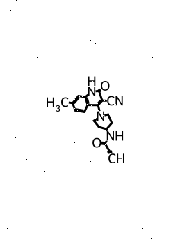 C#CC(=O)NC1CCN(c2c(C#N)c(=O)[nH]c3cc(C)ccc23)CC1